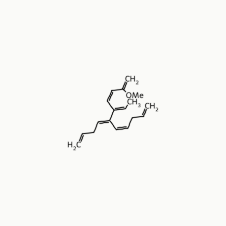 C=CC/C=C\C(=C/CC=C)C(=CC)/C=C\C(=C)OC